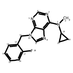 CN(c1ncnc2c1ncn2Cc1ccccc1F)C1CC1